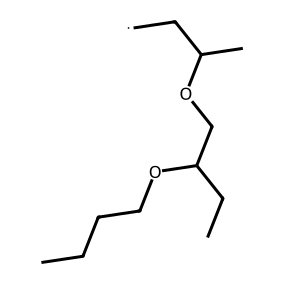 [CH2]CC(C)OCC(CC)OCCCC